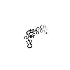 CC(C)OC(=O)NC(=O)c1ccsc1NC(=O)c1nc2ccccc2o1